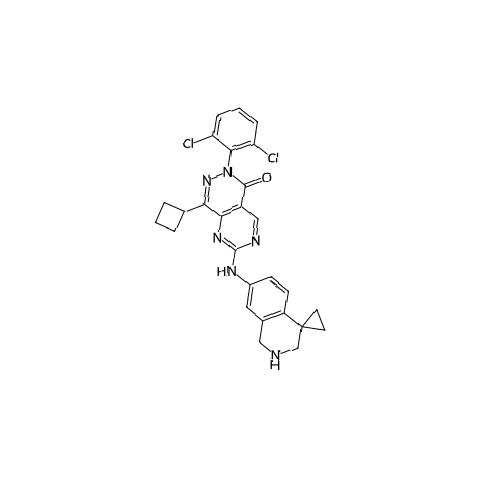 O=c1c2cnc(Nc3ccc4c(c3)CNCC43CC3)nc2c(C2CCC2)nn1-c1c(Cl)cccc1Cl